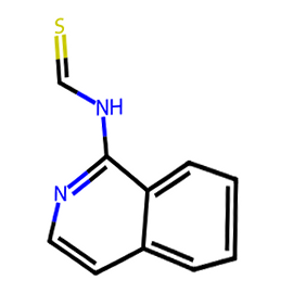 S=CNc1nccc2ccccc12